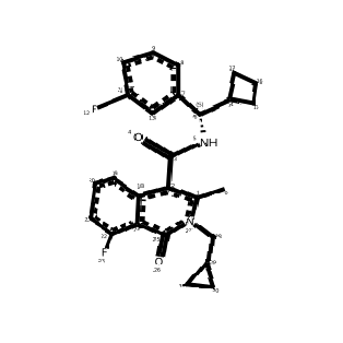 Cc1c(C(=O)N[C@H](c2cccc(F)c2)C2CCC2)c2cccc(F)c2c(=O)n1CC1CC1